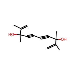 C=C(C)C(C)(O)C#CC#CC(C)(O)C(=C)C